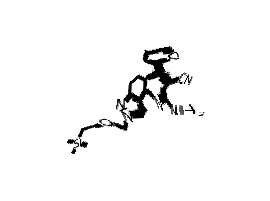 C[Si](C)(C)CCOCn1cc2c(n1)CCc1c-2nc(N)c(C#N)c1-c1ccco1